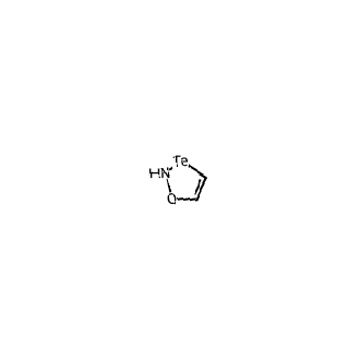 C1=C[Te]NO1